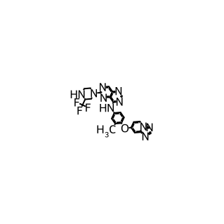 Cc1cc(Nc2ncnc3cnc(N4CCNC(C(F)(F)F)C4)nc23)ccc1Oc1ccn2ncnc2c1